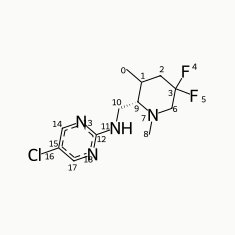 CC1CC(F)(F)CN(C)[C@@H]1CNc1ncc(Cl)cn1